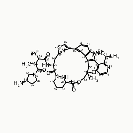 CCn1c(-c2cccnc2[C@H](C)OC)c2c3cc(ccc31)-c1csc(n1)C[C@H](NC(=O)C(C(C)C)N(C)C(=O)N1CC[C@@H](N)C1)C(=O)N1CCC[C@H](N1)C(=O)OCC(C)(C)C2